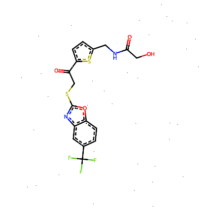 O=C(CO)NCc1ccc(C(=O)CSc2nc3cc(C(F)(F)F)ccc3o2)s1